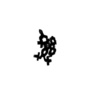 CC1(C)CC(=O)CC(C)(C)P1c1cc(C[Si](C)(C)C)c(C[Si](C)(C)C)cc1C(P)(c1cnccn1)c1cnccn1